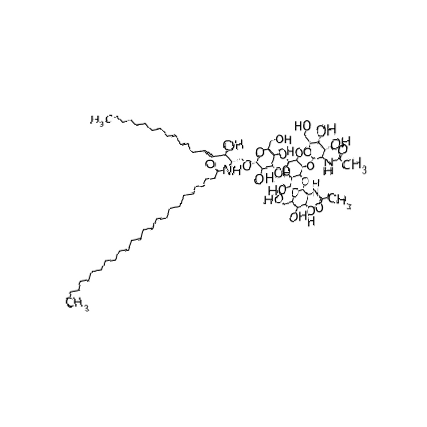 CCCCCCCCCCCCC/C=C/[C@@H](O)[C@H](CO[C@@H]1OC(CO)[C@@H](O[C@@H]2OC(CO)[C@H](O[C@@H]3OC(CO)[C@H](O)[C@H](O)C3NC(C)=O)[C@H](O[C@@H]3OC(CO)[C@@H](O)[C@H](O)C3NC(C)=O)C2O)[C@H](O)C1O)NC(=O)CCCCCCCCCCCCCCCCCCCCCCCCC